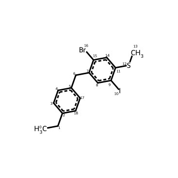 CCc1ccc(Cc2cc(I)c(SC)cc2Br)cc1